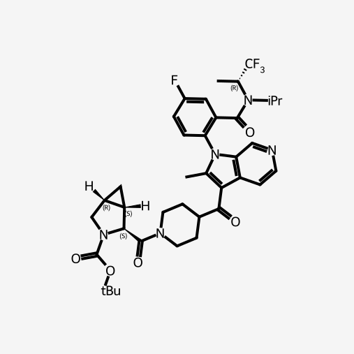 Cc1c(C(=O)C2CCN(C(=O)[C@@H]3[C@H]4C[C@H]4CN3C(=O)OC(C)(C)C)CC2)c2ccncc2n1-c1ccc(F)cc1C(=O)N(C(C)C)[C@H](C)C(F)(F)F